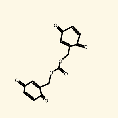 O=C1C=CC(=O)C(COC(=O)OCC2=CC(=O)C=CC2=O)=C1